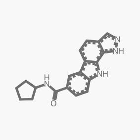 O=C(NC1CCCC1)c1ccc2[nH]c3c(ccc4cn[nH]c43)c2c1